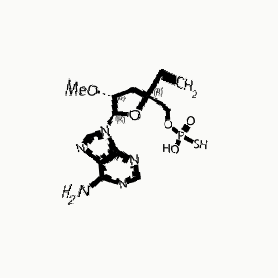 C=C[C@@]1(COP(=O)(O)S)C[C@@H](OC)[C@H](n2cnc3c(N)ncnc32)O1